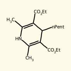 CCCCCC1C(C(=O)OCC)=C(C)NC(C)=C1C(=O)OCC